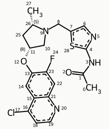 CC(=O)Nc1ncc(CN2C[C@H](Oc3cc4c(Cl)ccnc4cc3F)C[C@@H]2C)s1